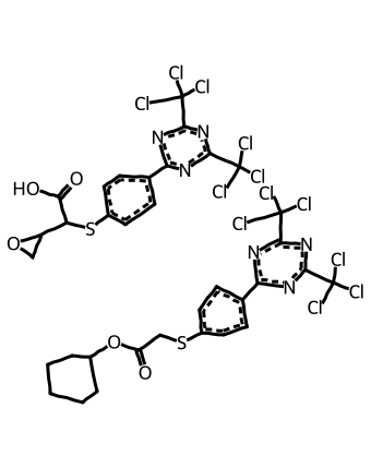 O=C(CSc1ccc(-c2nc(C(Cl)(Cl)Cl)nc(C(Cl)(Cl)Cl)n2)cc1)OC1CCCCC1.O=C(O)C(Sc1ccc(-c2nc(C(Cl)(Cl)Cl)nc(C(Cl)(Cl)Cl)n2)cc1)C1CO1